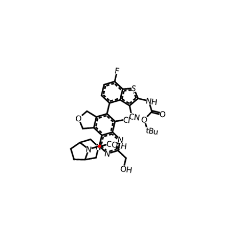 CC(C)(C)OC(=O)Nc1sc2c(F)ccc(-c3c4c(c5c(N6C7CCC6CN(C(=O)O)C7)nc(CO)nc5c3Cl)COC4)c2c1C#N